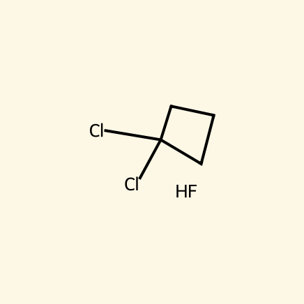 ClC1(Cl)CCC1.F